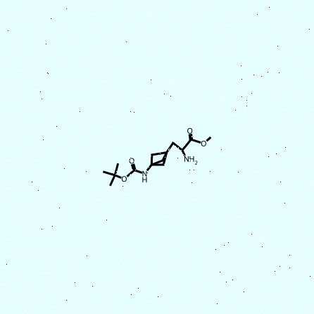 COC(=O)C(N)CC12CC(NC(=O)OC(C)(C)C)(C1)C2